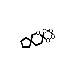 C1CCC2(C1)CCC1(OC2)OOOO1